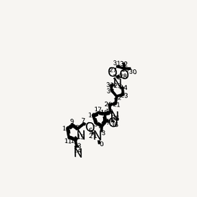 CN(C)Cc1c(OCc2cccc(C#N)n2)ccc2c(CCC3CCN(C(=O)OC(C)(C)C)CC3)noc12